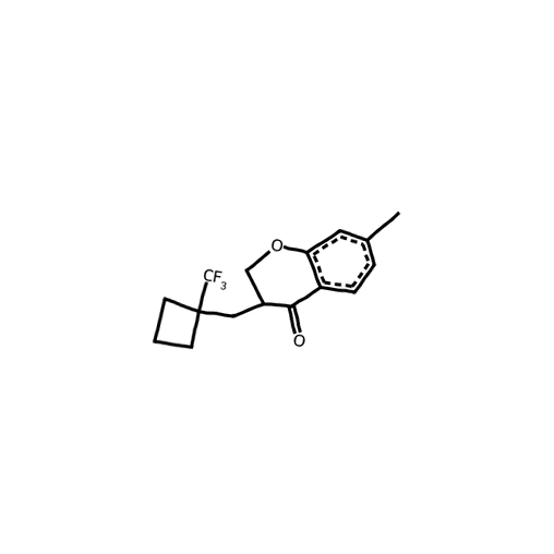 Cc1ccc2c(c1)OCC(CC1(C(F)(F)F)CCC1)C2=O